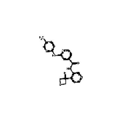 O=C(Nc1cnccc1C1(F)COC1)c1ccnc(Nc2ccc(C(F)(F)F)cn2)c1